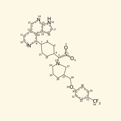 O=S(=O)=C(C1CCC(c2nccc3cnc4[nH]ccc4c23)CC1)N1CCCC(COc2ccc(C(F)(F)F)cc2)C1